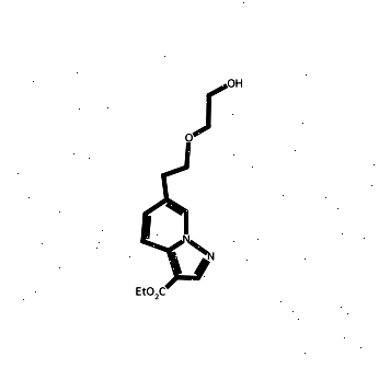 CCOC(=O)c1cnn2cc(CCOCCO)ccc12